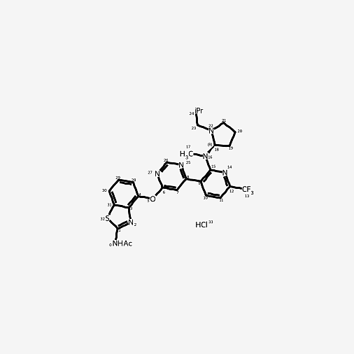 CC(=O)Nc1nc2c(Oc3cc(-c4ccc(C(F)(F)F)nc4N(C)[C@@H]4CCCN4CC(C)C)ncn3)cccc2s1.Cl